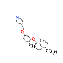 Cc1c(CC(=O)O)cccc1Oc1cc(OCc2ccncc2)ccc1C#N